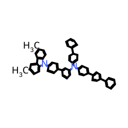 Cc1ccc2c(c1)c1cc(C)ccc1n2-c1ccc(-c2cccc(N(C3=CCC(c4ccccc4)C=C3)c3ccc(-c4ccc(-c5ccccc5)cc4)cc3)c2)cc1